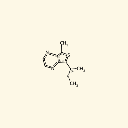 CS[C@@H](C)c1sc(C)c2nccnc12